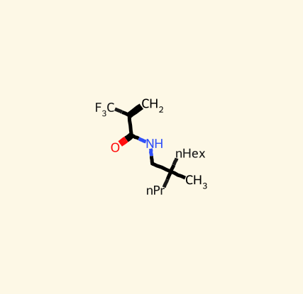 C=C(C(=O)NCC(C)(CCC)CCCCCC)C(F)(F)F